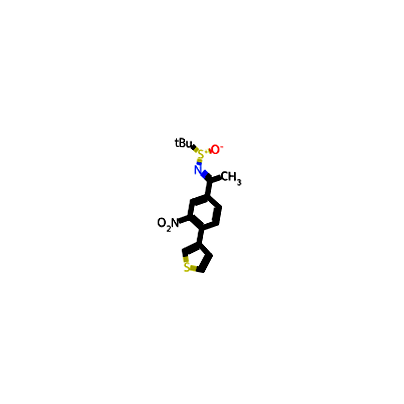 CC(=N[S+]([O-])C(C)(C)C)c1ccc(-c2ccsc2)c([N+](=O)[O-])c1